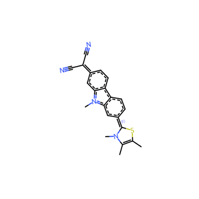 CC1=C(C)N(C)/C(=c2/ccc3c4ccc(=C(C#N)C#N)cc4n(C)c3c2)S1